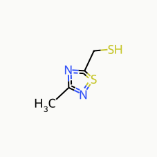 Cc1nsc(CS)n1